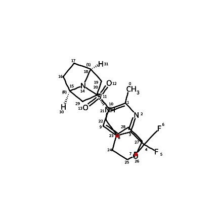 Cc1nc(C(F)(F)F)ccc1S(=O)(=O)N1[C@@H]2CC[C@H]1C[C@H](NCC1CCOCC1)C2